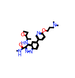 CNC(=O)c1nnc2ccc(-c3ccc(OCCCN(C)C)nc3)cc2c1NC(C)C1CCO1